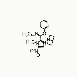 C1CN2CCC12.C=CN=C(Oc1ccccc1)c1ncc([N+](=O)[O-])n1C